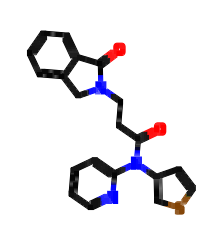 O=C1c2ccccc2CN1CCC(=O)N(c1ccsc1)c1ccccn1